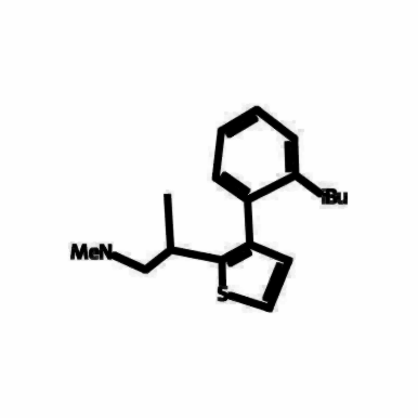 CCC(C)c1ccccc1-c1ccsc1C(C)CNC